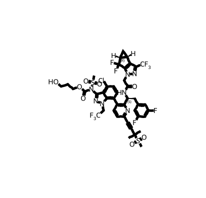 CC(C)(C#Cc1ccc(-c2ccc(Cl)c3c(N(C(=O)OCCCO)S(C)(=O)=O)nn(CC(F)(F)F)c23)c([C@H](Cc2cc(F)cc(F)c2)NC(=O)Cn2nc(C(F)(F)F)c3c2C(F)(F)[C@@H]2C[C@H]32)n1)S(C)(=O)=O